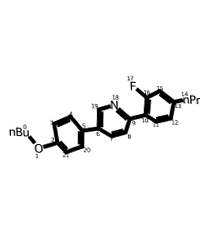 CCCCOc1ccc(-c2ccc(-c3ccc(CCC)cc3F)nc2)cc1